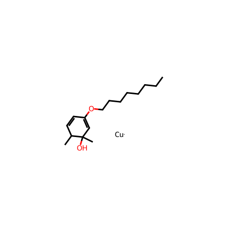 CCCCCCCCOC1=CC(C)(O)C(C)C=C1.[Cu]